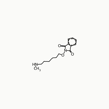 CNCCCCCCON1C(=O)c2ccccc2C1=O